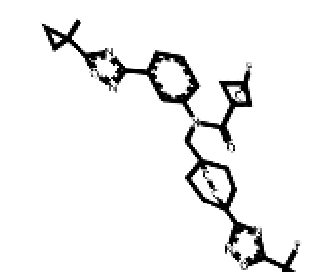 CC(F)(F)c1nc(C23CCC(CN(C(=O)C45CC(F)(C4)C5)c4cccc(-c5noc(C6(C)CC6)n5)c4)(CC2)CC3)no1